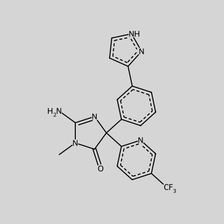 CN1C(=O)C(c2cccc(-c3cc[nH]n3)c2)(c2ccc(C(F)(F)F)cn2)N=C1N